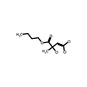 CCCCOC(=O)C(C)(Cl)C=C(Cl)Cl